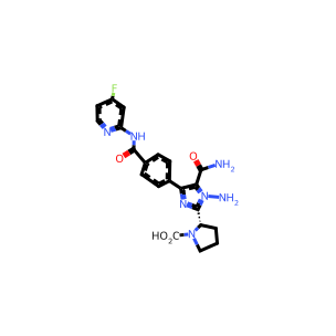 NC(=O)c1c(-c2ccc(C(=O)Nc3cc(F)ccn3)cc2)nc([C@@H]2CCCN2C(=O)O)n1N